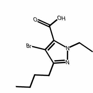 CCCCc1nn(CC)c(C(=O)O)c1Br